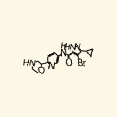 O=C(Nc1ccc(C2CNCCO2)nc1)c1[nH]nc(C2CC2)c1Br